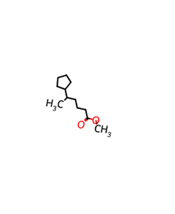 COC(=O)CCCC(C)C1CCCC1